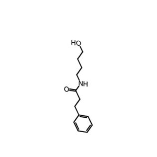 O=C(CCc1ccccc1)NCCCCO